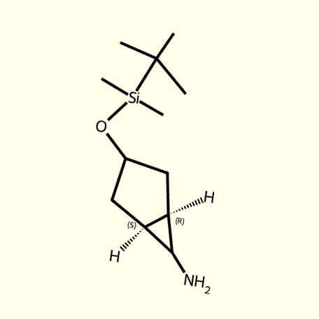 CC(C)(C)[Si](C)(C)OC1C[C@@H]2C(N)[C@@H]2C1